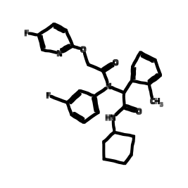 Cc1ccccc1C(C(=O)NC1CCCCC1)N(C(=O)COc1ccc(F)cn1)c1cccc(F)c1